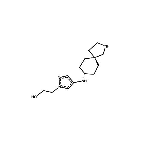 OCCn1cc(N[C@H]2CC[C@]3(CCNC3)CC2)cn1